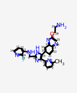 Cc1cccc(-c2nc(CNc3cccnc3F)[nH]c2-c2ccc3ncc(OCCN)nc3c2)n1